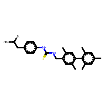 CCCCC(CC)Cc1ccc(NC(=S)NCc2cc(C)c(-c3c(C)cc(C)cc3C)cc2C)cc1